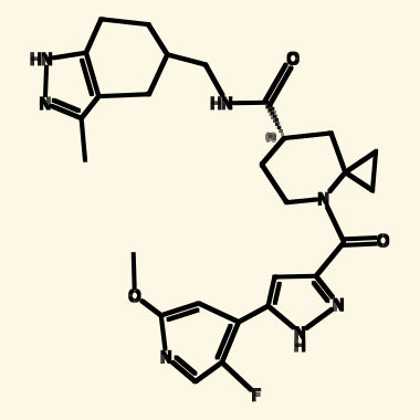 COc1cc(-c2cc(C(=O)N3CC[C@H](C(=O)NCC4CCc5[nH]nc(C)c5C4)CC34CC4)n[nH]2)c(F)cn1